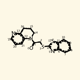 O=C(CSc1nc2ccccc2s1)N1CCCc2ncccc21